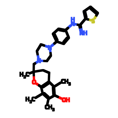 Cc1c(C)c2c(c(C)c1O)CCC(C)(CN1CCN(c3ccc(NC(=N)c4cccs4)cc3)CC1)O2